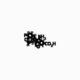 NC1c2cc(C(=O)O)cc3c2C(N)(CCO3)C1c1cc2ccc(F)c(Cl)c2n1CC1CC1